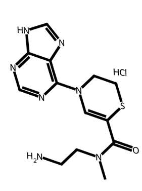 CN(CCN)C(=O)C1=CN(c2ncnc3[nH]cnc23)CCS1.Cl